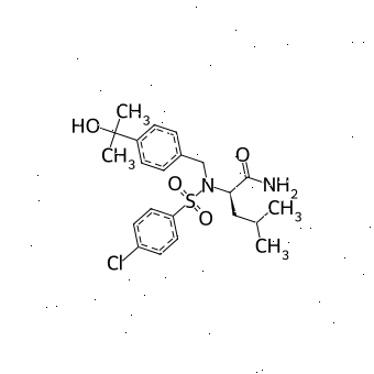 CC(C)C[C@H](C(N)=O)N(Cc1ccc(C(C)(C)O)cc1)S(=O)(=O)c1ccc(Cl)cc1